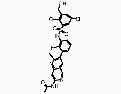 CC(=O)Nc1cc2nc(C)c(-c3cccc(NS(=O)(=O)c4cc(Cl)cc(CO)c4Cl)c3F)cc2cn1